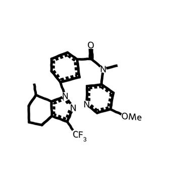 COc1cncc(N(C)C(=O)c2cccc(-n3nc(C(F)(F)F)c4c3C(C)CCC4)c2)c1